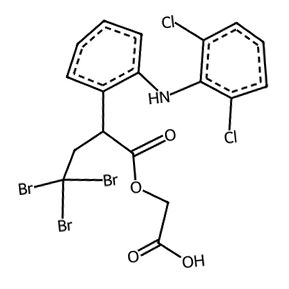 O=C(O)COC(=O)C(CC(Br)(Br)Br)c1ccccc1Nc1c(Cl)cccc1Cl